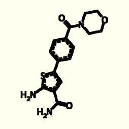 NC(=O)c1cc(-c2ccc(C(=O)N3CCOCC3)cc2)sc1N